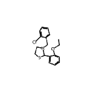 CCOc1ccccc1C1SCCN1Cc1ccccc1Cl